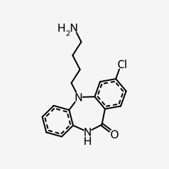 NCCCCN1c2ccccc2NC(=O)c2ccc(Cl)cc21